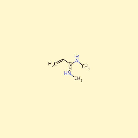 C=C[SiH](NC)NC